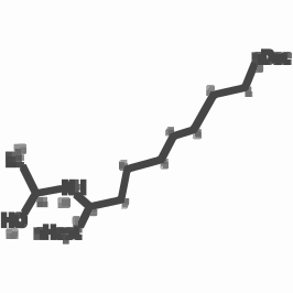 CCCCCCCCCCCCCCCCCC(CCCCCCC)NC(O)CC